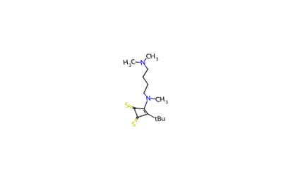 CN(C)CCCCN(C)c1c(C(C)(C)C)c(=S)c1=S